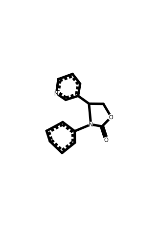 O=C1OCC(c2cccnc2)N1c1ccccc1